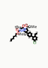 C=CCCCCOC(=O)NC(C(=O)N1C[C@](OC)(c2ccc(-c3cc(Cl)ccc3C=C)cc2)C[C@H]1C(=O)OC)C(C)(C)C